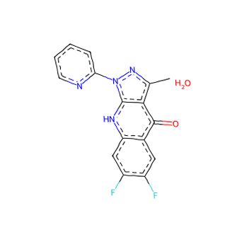 Cc1nn(-c2ccccn2)c2[nH]c3cc(F)c(F)cc3c(=O)c12.O